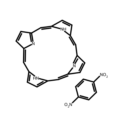 C1=Cc2cc3ccc(cc4nc(cc5ccc(cc1n2)[nH]5)C=C4)[nH]3.O=[N+]([O-])c1ccc([N+](=O)[O-])cc1